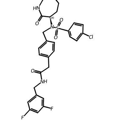 O=C(Cc1ccc(CN([C@@H]2CCCCNC2=O)S(=O)(=O)c2ccc(Cl)cc2)cc1)NCc1cc(F)cc(F)c1